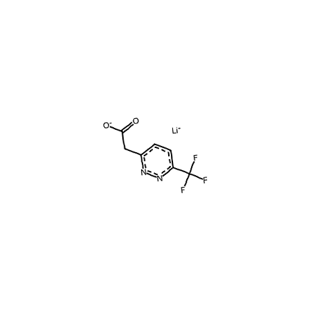 O=C([O-])Cc1ccc(C(F)(F)F)nn1.[Li+]